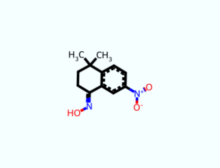 CC1(C)CC/C(=N\O)c2cc([N+](=O)[O-])ccc21